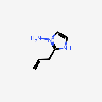 C=CCc1[nH]cc[n+]1N